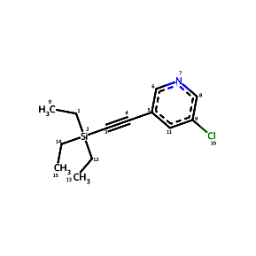 CC[Si](C#Cc1cncc(Cl)c1)(CC)CC